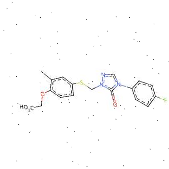 Cc1cc(SCn2ncn(-c3ccc(F)cc3)c2=O)ccc1OCC(=O)O